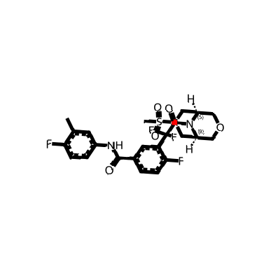 Cc1cc(NC(=O)c2ccc(F)c(C(F)(F)C(=O)N3[C@@H]4COC[C@H]3CN(S(C)(=O)=O)C4)c2)ccc1F